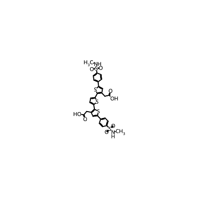 CNS(=O)(=O)c1ccc(-c2cc(CC(=O)O)c(-c3ccc(-c4sc(-c5ccc(S(=O)(=O)NC)cc5)cc4CC(=O)O)s3)s2)cc1